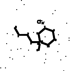 CCCC[P+]1(C)CCCCC1.[Cl-]